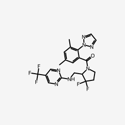 Cc1cc(C)c(-n2nccn2)c(C(=O)N2CCC(F)(F)C2CNc2ncc(C(F)(F)F)cn2)c1